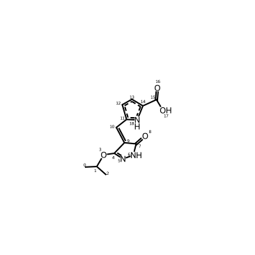 CC(C)OC1=NNC(=O)C1=Cc1ccc(C(=O)O)[nH]1